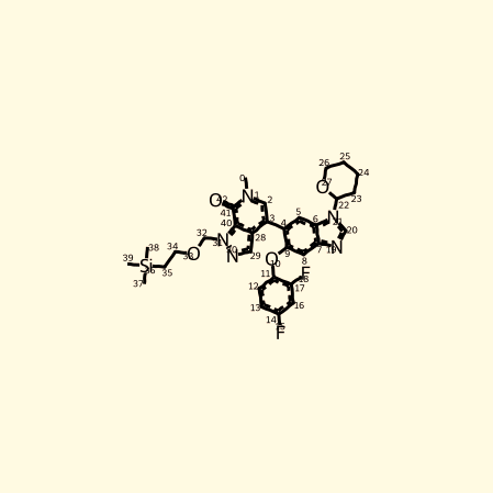 Cn1cc(-c2cc3c(cc2Oc2ccc(F)cc2F)ncn3C2CCCCO2)c2cnn(COCC[Si](C)(C)C)c2c1=O